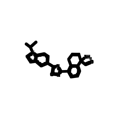 CC(C)n1ccc2cc(-c3nc(-c4cccc5c4CC=CC5(N)C=O)no3)ccc21